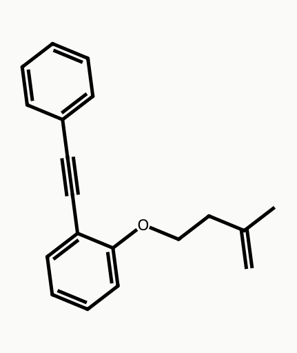 C=C(C)CCOc1ccccc1C#Cc1ccccc1